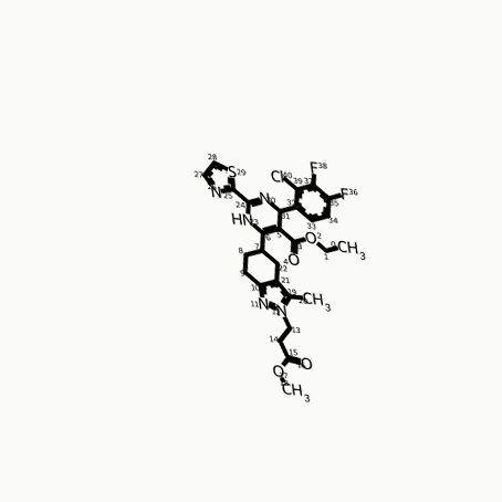 CCOC(=O)C1=C(C2CCc3nn(CCC(=O)OC)c(C)c3C2)NC(c2nccs2)=NC1c1ccc(F)c(F)c1Cl